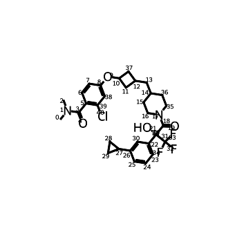 CN(C)C(=O)c1ccc(OC2CC(CC3CCN(C(=O)[C@](O)(c4cccc(C5CC5)c4)C(F)(F)F)CC3)C2)cc1Cl